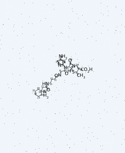 CC1S[C@@H]2C(N(C(=O)C=NOCCCNC(=O)CC3(N)CCCCC3)c3nsc(N)n3)C(=O)N2C=C1C(=O)O